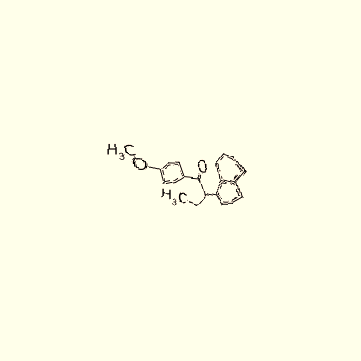 CCC(C(=O)c1ccc(OC)cc1)c1cccc2ccccc12